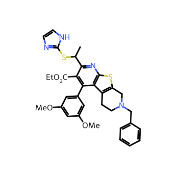 CCOC(=O)c1c(C(C)Sc2ncc[nH]2)nc2sc3c(c2c1-c1cc(OC)cc(OC)c1)CCN(Cc1ccccc1)C3